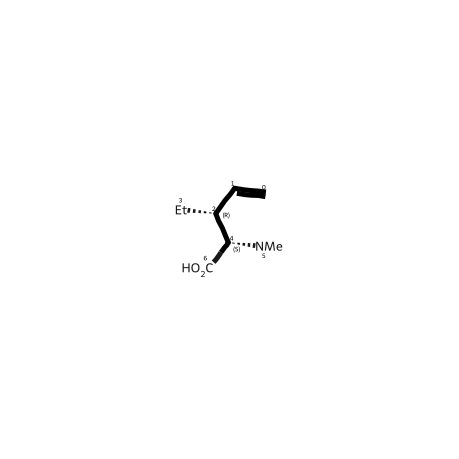 C=C[C@@H](CC)[C@H](NC)C(=O)O